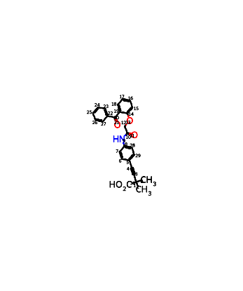 CC(C)(C#Cc1ccc(NC(=O)COc2ccccc2C(=O)c2ccccc2)cc1)C(=O)O